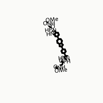 COC(=O)NCCC(=O)Pc1ncc(-c2ccc(-c3cc4ccc(-c5ccc6nc(PC(=O)CNC(=O)OC)[nH]c6c5)ccc-4c3)cc2)[nH]1